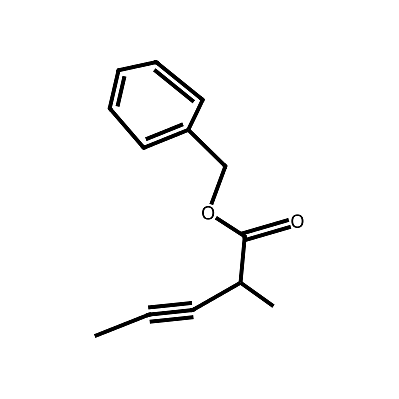 CC#CC(C)C(=O)OCc1ccccc1